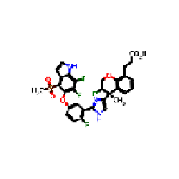 CC1(c2c[nH]c(-c3cc(Oc4c(F)c(F)c5[nH]ccc5c4S(C)(=O)=O)ccc3F)n2)c2cccc(CCC(=O)O)c2OCC1F